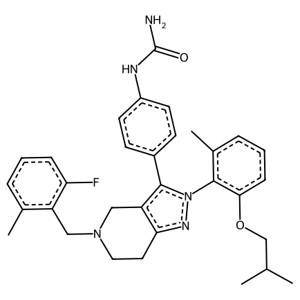 Cc1cccc(F)c1CN1CCc2nn(-c3c(C)cccc3OCC(C)C)c(-c3ccc(NC(N)=O)cc3)c2C1